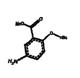 CCCCOc1ccc(N)cc1C(=O)OC